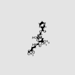 COC(=O)CCNC(=O)[C@@H]1O[PH](O)(OCOC(=O)c2cnccn2)OCC1(C)C